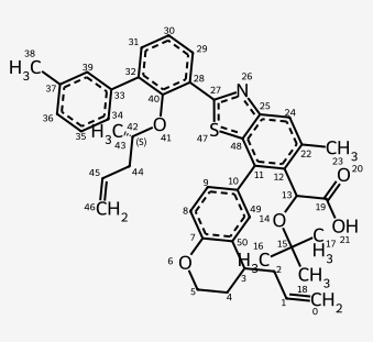 C=CCC1CCOc2ccc(-c3c(C(OC(C)(C)C)C(=O)O)c(C)cc4nc(-c5cccc(-c6cccc(C)c6)c5O[C@@H](C)CC=C)sc34)cc21